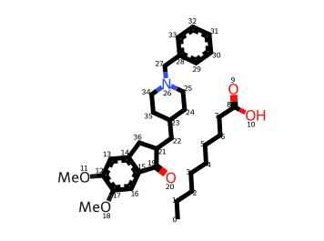 CCCCCCCCC(=O)O.COc1cc2c(cc1OC)C(=O)C(CC1CCN(Cc3ccccc3)CC1)C2